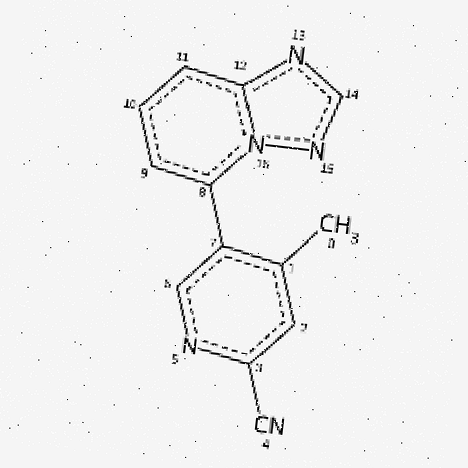 Cc1cc(C#N)ncc1-c1cccc2ncnn12